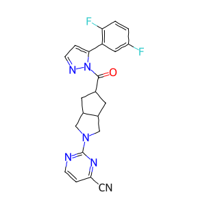 N#Cc1ccnc(N2CC3CC(C(=O)n4nccc4-c4cc(F)ccc4F)CC3C2)n1